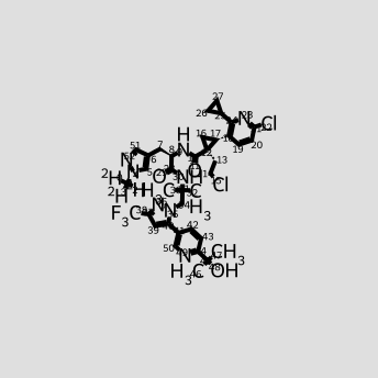 [2H]C([2H])([2H])n1cc(C[C@@H](NC(=O)[C@@]2(CCCl)C[C@@H]2c2ccc(Cl)nc2C2CC2)C(=O)NC(C)(C)Cn2nc(C(F)(F)F)cc2-c2ccc(C(C)(C)O)nc2)cn1